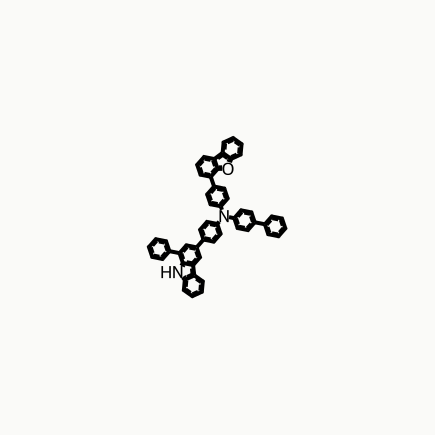 c1ccc(-c2ccc(N(c3ccc(-c4cc(-c5ccccc5)c5[nH]c6ccccc6c5c4)cc3)c3ccc(-c4cccc5c4oc4ccccc45)cc3)cc2)cc1